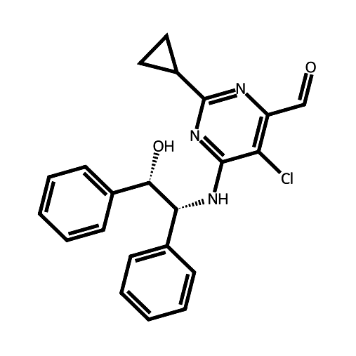 O=Cc1nc(C2CC2)nc(N[C@H](c2ccccc2)[C@@H](O)c2ccccc2)c1Cl